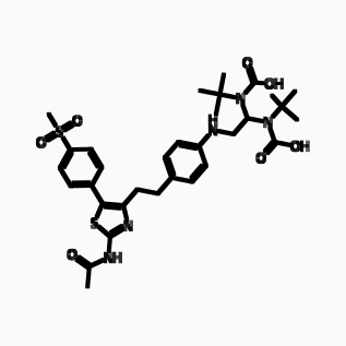 CC(=O)Nc1nc(CCc2ccc(NCC(N(C(=O)O)C(C)(C)C)N(C(=O)O)C(C)(C)C)cc2)c(-c2ccc(S(C)(=O)=O)cc2)s1